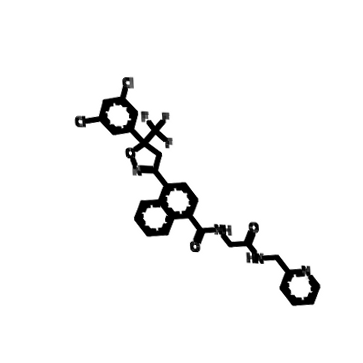 O=C(CNC(=O)c1ccc(C2=NOC(c3cc(Cl)cc(Cl)c3)(C(F)(F)F)C2)c2ccccc12)NCc1ccccn1